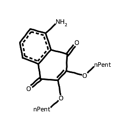 CCCCCOC1=C(OCCCCC)C(=O)c2c(N)cccc2C1=O